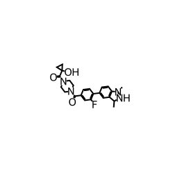 CC1NN(C)c2ccc(-c3ccc(C(=O)N4CCN(C(=O)C5(O)CC5)CC4)cc3F)cc21